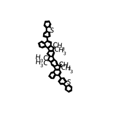 CC1(C)c2cc3c(cc2-c2cc4c(cc21)-c1c(cc(-c2ccc5c(c2)sc2ccccc25)c2ccccc12)C4(C)C)C(C)(C)c1cc(-c2ccc4c(c2)sc2ccccc24)c2ccccc2c1-3